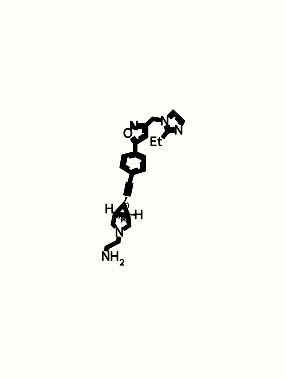 CCc1nccn1Cc1cc(-c2ccc(C#C[C@@H]3[C@H]4CN(CCN)C[C@@H]34)cc2)on1